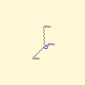 CCCCCCCCCCCCCCCCCCCc1n(CCCCCCCCCCCCCCCCC)cc[n+]1CCCCCCCCCC